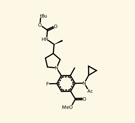 COC(=O)c1cc(F)c(N2CCC([C@H](C)NC(=O)OC(C)(C)C)C2)c(C)c1N(C(C)=O)C1CC1